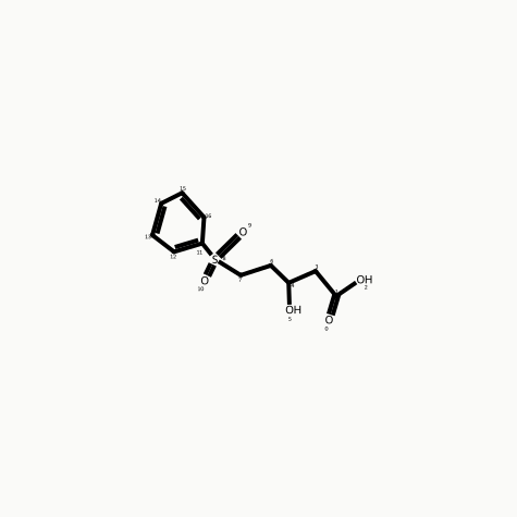 O=C(O)CC(O)CCS(=O)(=O)c1ccccc1